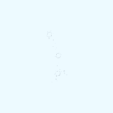 COC(=O)c1ccc(OCCCc2cccc(OCCCCOc3ccccc3)c2)c([N+](=O)[O-])c1